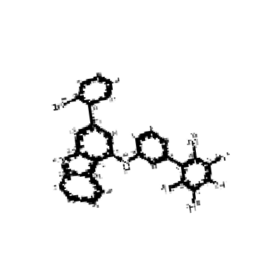 [2H]c1c([2H])c([2H])c(-c2cccc(Nc3cc(-c4ccccc4C(C)(C)C)cc4oc5ccccc5c34)c2)c([2H])c1[2H]